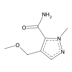 COCc1cnn(C)c1C(N)=O